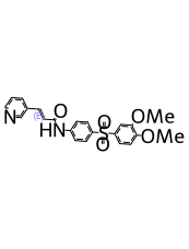 COc1ccc(S(=O)(=O)c2ccc(NC(=O)/C=C/c3cccnc3)cc2)cc1OC